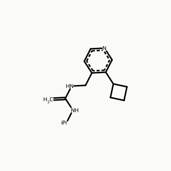 C=C(NCc1ccncc1C1CCC1)NC(C)C